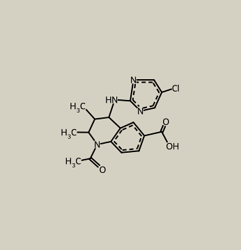 CC(=O)N1c2ccc(C(=O)O)cc2C(Nc2ncc(Cl)cn2)C(C)C1C